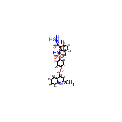 Cc1cc(COc2ccc(S(=O)(=O)N[C@H]3[C@@H](C(=O)NO)[C@@H]4CC[C@H]3O4)cc2)c2ccccc2n1